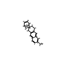 CCCc1ccc2cc3c(cc2c1)CCC1(C3)CC2C=CC1C2